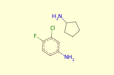 NC1CCCC1.Nc1ccc(F)c(Cl)c1